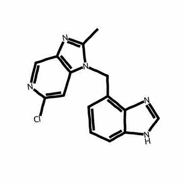 Cc1nc2cnc(Cl)cc2n1Cc1cccc2[nH]cnc12